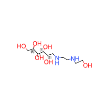 OCCNCCNC[C@H](O)[C@@H](O)[C@H](O)[C@H](O)CO